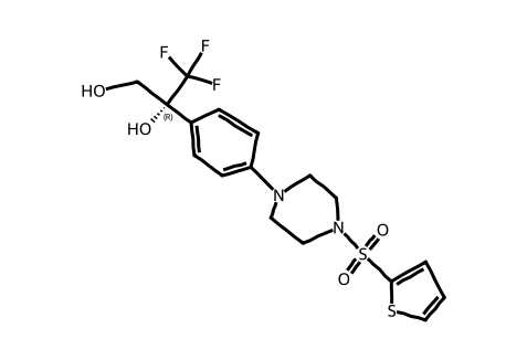 O=S(=O)(c1cccs1)N1CCN(c2ccc([C@@](O)(CO)C(F)(F)F)cc2)CC1